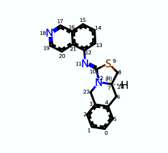 c1ccc2c(c1)C[C@@H]1CSC(=Nc3cccc4cnccc34)N1C2